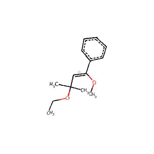 CCOC(C)(C)/C=C(\OC)c1ccccc1